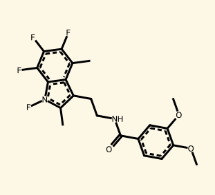 COc1ccc(C(=O)NCCc2c(C)n(F)c3c(F)c(F)c(F)c(C)c23)cc1OC